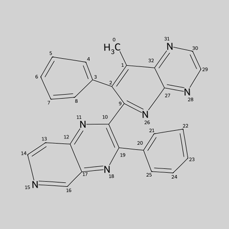 Cc1c(-c2ccccc2)c(-c2nc3ccncc3nc2-c2ccccc2)nc2nccnc12